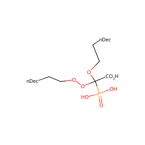 CCCCCCCCCCCCOOC(OCCCCCCCCCCCC)(C(=O)O)P(=O)(O)O